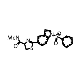 CNC(=O)C1CSC(c2ccc3c(ccn3S(=O)(=O)c3ccccc3)c2)=N1